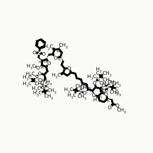 C=C1CC(CCC/C=C/[C@H](O[Si](C)(C)C(C)(C)C)[C@@H]2O[C@H]3CC[C@H](CC(=O)OC)O[C@@H]3C(O[Si](C)(C)C(C)(C)C)C2O[Si](C)(C)C(C)(C)C)OC1CC[C@H]1C[C@@H](C)C(=C)C(C[C@@H]2OC(CC(CO[Si](C)(C)C(C)(C)C)O[Si](C)(C)C(C)(C)C)[C@H](OC)[C@H]2CS(=O)(=O)c2ccccc2)O1